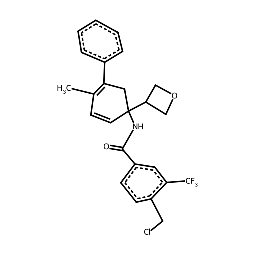 CC1=C(c2ccccc2)CC(NC(=O)c2ccc(CCl)c(C(F)(F)F)c2)(C2COC2)C=C1